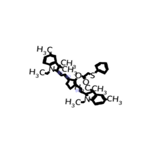 CCN1/C(=C/C=C2\CCC(/C=C/C3=[N+](CC)c4ccc(C)cc4C3(C)C)=C2OC(=O)CSc2ccccc2)C(C)(C)c2cc(C)ccc21